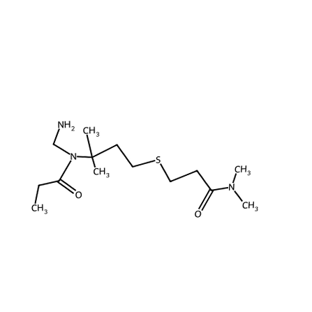 CCC(=O)N(CN)C(C)(C)CCSCCC(=O)N(C)C